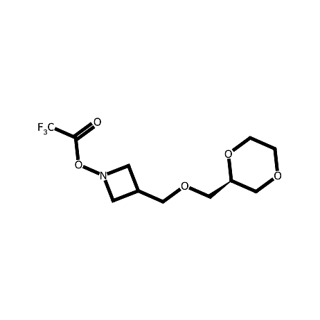 O=C(ON1CC(COC[C@@H]2COCCO2)C1)C(F)(F)F